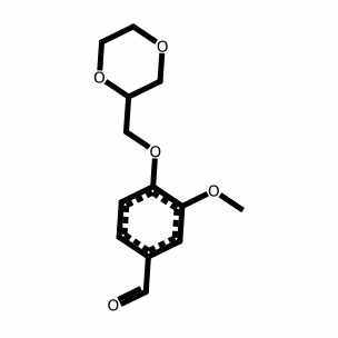 COc1cc(C=O)ccc1OCC1COCCO1